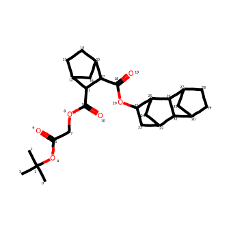 CC(C)(C)OC(=O)COC(=O)C1C2CCC(C2)C1C(=O)OC1CC2CC1C1C3CCC(C3)C21